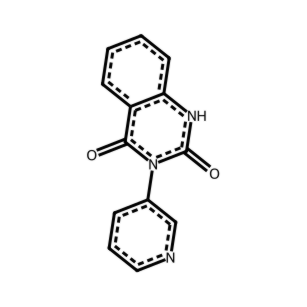 O=c1[nH]c2ccccc2c(=O)n1-c1cccnc1